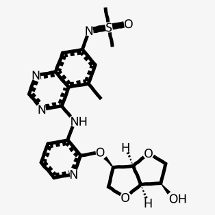 Cc1cc(N=S(C)(C)=O)cc2ncnc(Nc3cccnc3O[C@@H]3CO[C@H]4[C@@H]3OC[C@H]4O)c12